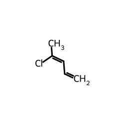 C=CC=C(C)Cl